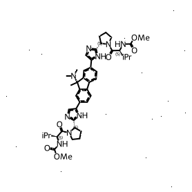 COC(=O)N[C@H](C(=O)N1CCC[C@H]1c1ncc(-c2ccc3c(c2)C(C)(N(C)C)c2cc(-c4cnc([C@@H]5CCCN5C(=O)[C@@H](NC(=O)OC)C(C)C)[nH]4)ccc2-3)[nH]1)C(C)C